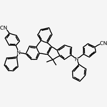 [C-]#[N+]c1ccc(N(c2ccccc2)c2ccc3c4c(c5ccccc5c3c2)-c2ccc(N(c3ccccc3)c3ccc(C#N)cc3)cc2C4(C)C)cc1